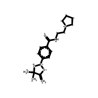 C=C1OB(c2ccc(C(=O)NCCN3CCCC3)cc2)OC1(C)C